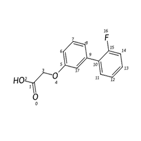 O=C(O)COc1cc[c]c(-c2ccccc2F)c1